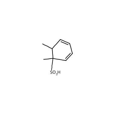 CC1C=CC=CC1(C)S(=O)(=O)O